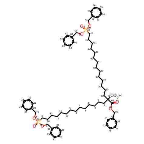 O=C(O)C(CCCCCCCCCCCCCCP(=O)(OCc1ccccc1)OCc1ccccc1)(CCCCCCCCCCCCCCP(=O)(OCc1ccccc1)OCc1ccccc1)C(=O)OCc1ccccc1